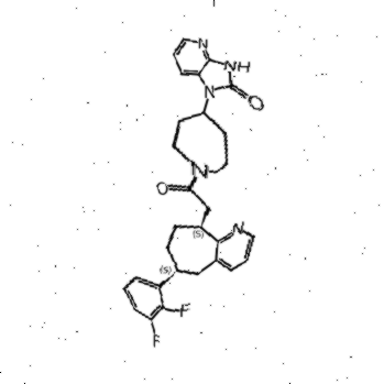 O=C(C[C@@H]1CC[C@H](c2cccc(F)c2F)Cc2cccnc21)N1CCC(n2c(=O)[nH]c3ncccc32)CC1